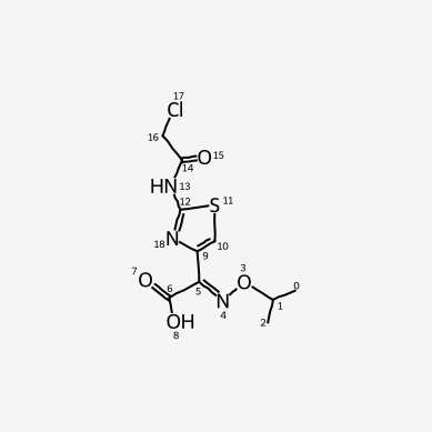 CC(C)O/N=C(/C(=O)O)c1csc(NC(=O)CCl)n1